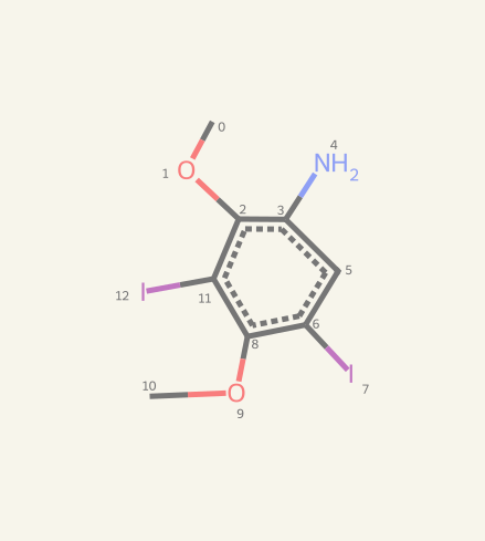 COc1c(N)cc(I)c(OC)c1I